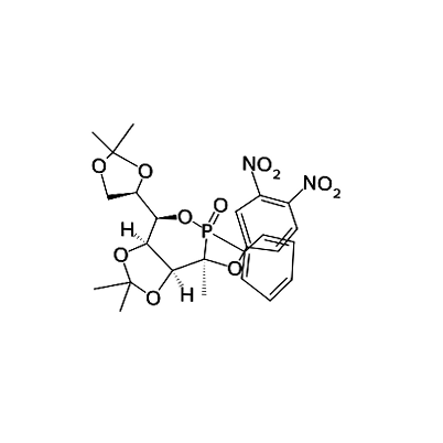 CC1(C)OC[C@H]([C@H]2OP(=O)(c3ccccc3)[C@@](C)(Oc3ccc([N+](=O)[O-])c([N+](=O)[O-])c3)[C@H]3OC(C)(C)O[C@@H]23)O1